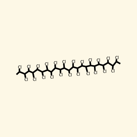 CC(Cl)C(Cl)C(Cl)C(Cl)C(Cl)C(Cl)C(Cl)C(Cl)C(Cl)C(Cl)C(Cl)C(Cl)C(Cl)C(Cl)C(Cl)C(Cl)C(Cl)C(Cl)C(Cl)C(Cl)C(Cl)C(Cl)C(C)Cl